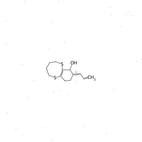 C=C/C=C1\CCC2=C(SCCCCS2)C1O